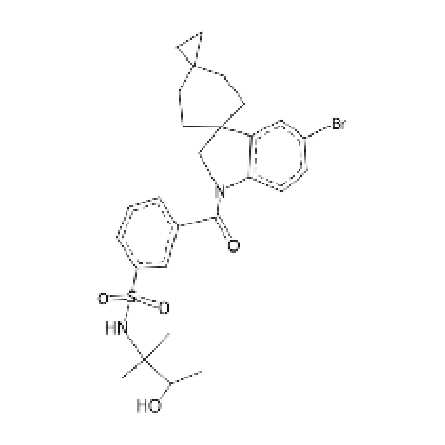 CC(O)C(C)(C)NS(=O)(=O)c1cccc(C(=O)N2CC3(CCC4(CC4)CC3)c3cc(Br)ccc32)c1